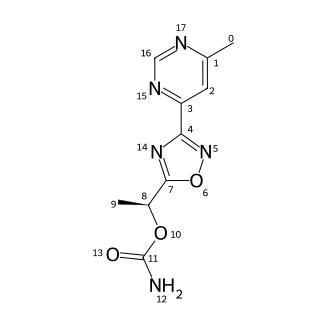 Cc1cc(-c2noc([C@H](C)OC(N)=O)n2)ncn1